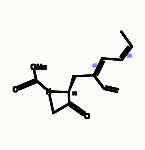 C=C/C(=C\C=C/C)C[C@H]1C(=O)CN1C(=O)OC